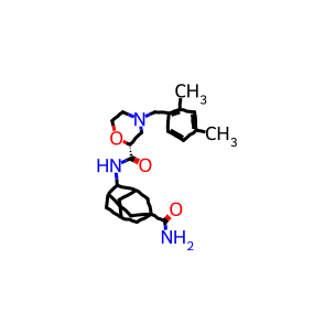 Cc1ccc(CN2CCO[C@@H](C(=O)NC3C4CC5CC3CC(C(N)=O)(C5)C4)C2)c(C)c1